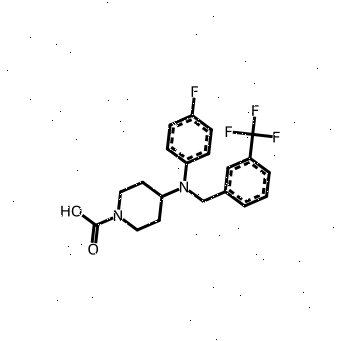 O=C(O)N1CCC(N(Cc2cccc(C(F)(F)F)c2)c2ccc(F)cc2)CC1